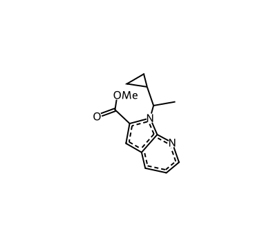 COC(=O)c1cc2cccnc2n1C(C)C1CC1